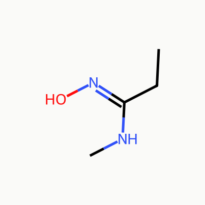 CCC(=NO)NC